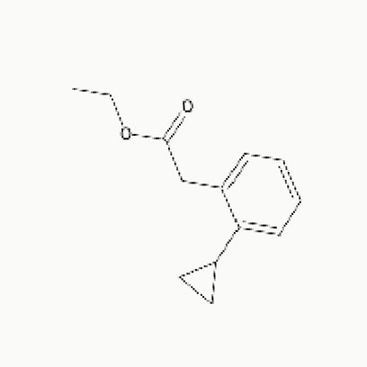 CCOC(=O)Cc1ccccc1C1CC1